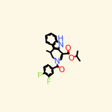 CC(C)OC(=O)C1=CN(C(=O)c2ccc(F)c(F)c2)CC(C)c2c1[nH]c1ccccc21